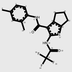 Cc1ccc(NC(=O)c2c(NC(=O)C(F)(F)F)sc3c2CCC3)c(C)c1